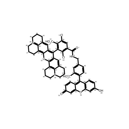 O=C(O)c1cc(CNC(=O)c2cc(Cl)c(C(=O)O)c(C3=c4cc5c6c(c4Oc4c3cc3c7c4CCCN7CCC3)CCC[N+]=6CCC5)c2Cl)ccc1-c1c2ccc(=O)cc-2oc2cc(O)ccc12